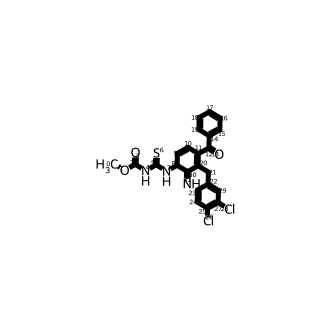 COC(=O)NC(=S)NC1C=CC(C(=O)c2ccccc2)=C(Cc2ccc(Cl)c(Cl)c2)C1=N